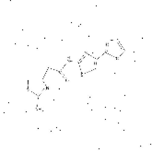 Nc1nc(CC(=O)Nc2nc(-c3ccco3)cs2)cs1